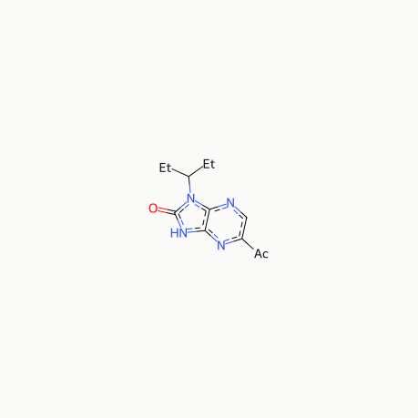 CCC(CC)n1c(=O)[nH]c2nc(C(C)=O)cnc21